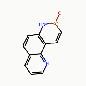 [O-][S+]1C=Cc2c(ccc3cccnc23)N1